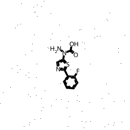 NN(C(=O)O)c1cnc(-c2ccccc2F)s1